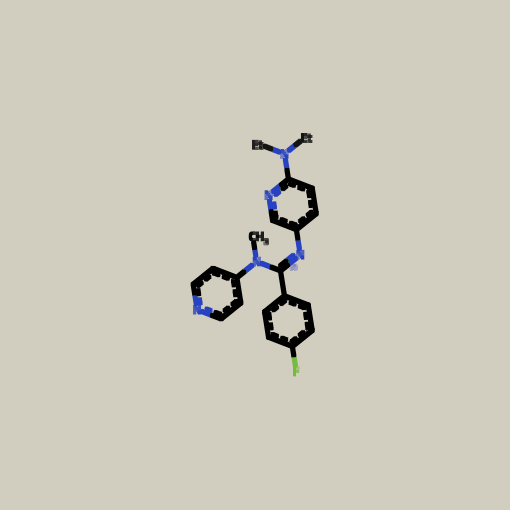 CCN(CC)c1ccc(/N=C(/c2ccc(F)cc2)N(C)c2ccncc2)cn1